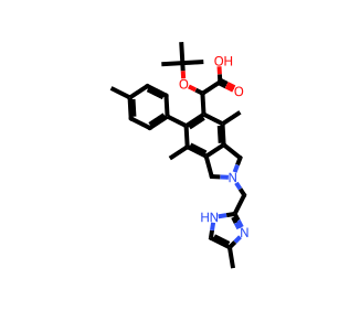 Cc1ccc(-c2c(C)c3c(c(C)c2C(OC(C)(C)C)C(=O)O)CN(Cc2nc(C)c[nH]2)C3)cc1